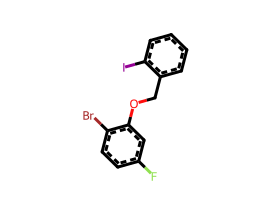 Fc1ccc(Br)c(OCc2ccccc2I)c1